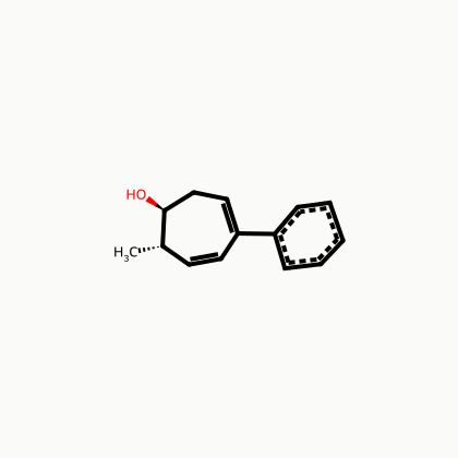 C[C@H]1C=CC(c2ccccc2)=CC[C@@H]1O